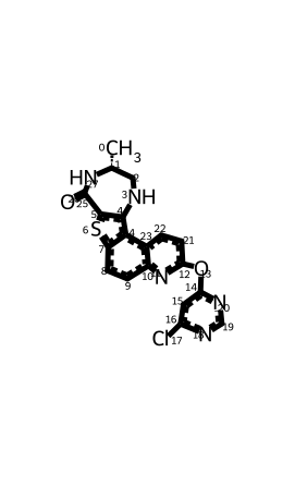 C[C@@H]1CNc2c(sc3ccc4nc(Oc5cc(Cl)ncn5)ccc4c23)C(=O)N1